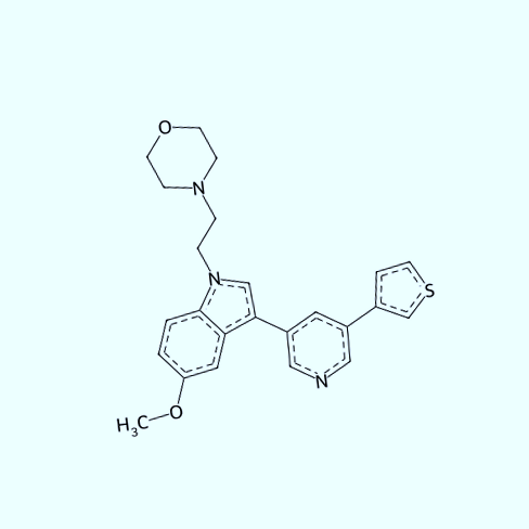 COc1ccc2c(c1)c(-c1cncc(-c3ccsc3)c1)cn2CCN1CCOCC1